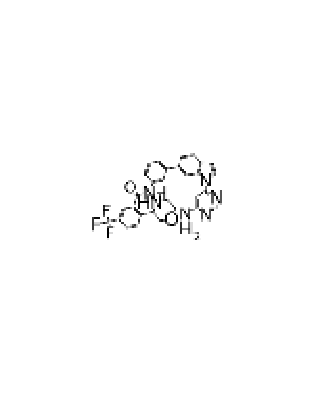 Nc1cc(-n2ccc3ccc(-c4cccc(NC(=O)c5cc(C(F)(F)F)ccc5C5COCCN5)c4)cc32)ncn1